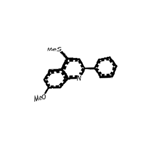 COc1ccc2c(SC)cc(-c3ccccc3)nc2c1